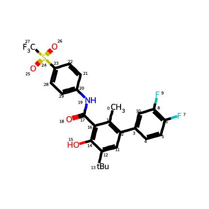 Cc1c(-c2ccc(F)c(F)c2)cc(C(C)(C)C)c(O)c1C(=O)Nc1ccc(S(=O)(=O)C(F)(F)F)cc1